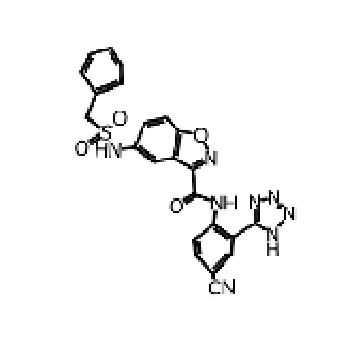 N#Cc1ccc(NC(=O)c2noc3ccc(NS(=O)(=O)Cc4ccccc4)cc23)c(-c2nnn[nH]2)c1